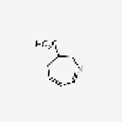 O=C(O)C1CC=CC=NC1